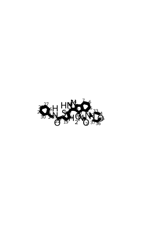 NC(=O)N(c1cccc2c1C(=O)c1c-2n[nH]c1-c1ccc(C(=O)NCc2ccccc2)s1)N1CCOCC1